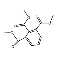 COC(=O)c1cccc(C(=O)OC)c1C(=O)OC